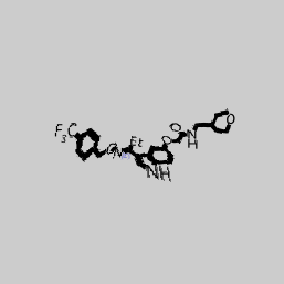 CC/C(=N\OCc1ccc(C(F)(F)F)cc1)c1c[nH]c2ccc(OCC(=O)NCC3CCOCC3)cc12